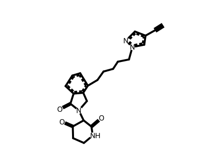 C#Cc1cnn(CCCCCc2cccc3c2CN(C2C(=O)CCNC2=O)C3=O)c1